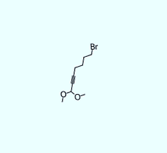 COC(C#CCCCCBr)OC